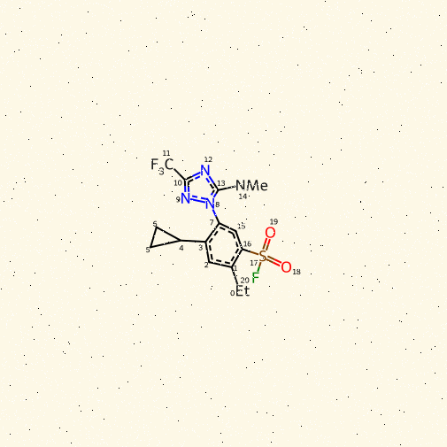 CCc1cc(C2CC2)c(-n2nc(C(F)(F)F)nc2NC)cc1S(=O)(=O)F